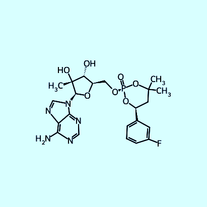 CC1(C)C[C@@H](c2cccc(F)c2)O[P@@](=O)(OC[C@H]2O[C@@H](n3cnc4c(N)ncnc43)[C@](C)(O)[C@@H]2O)O1